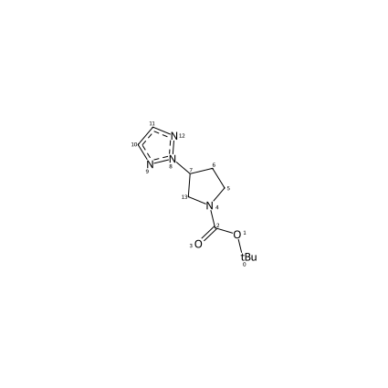 CC(C)(C)OC(=O)N1CCC(n2nccn2)C1